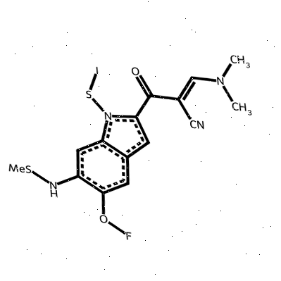 CSNc1cc2c(cc1OF)cc(C(=O)/C(C#N)=C/N(C)C)n2SI